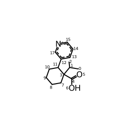 CC(C)C1(C(=O)O)CCCCC1c1cccnc1